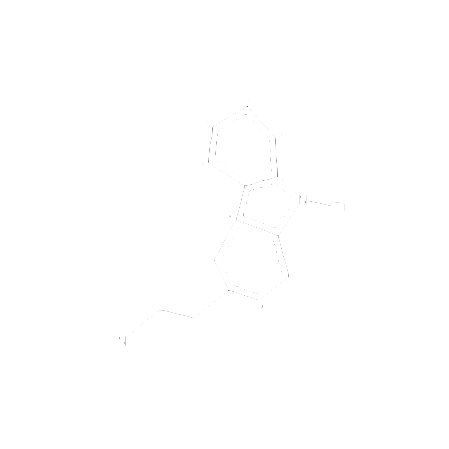 CCn1c2ccccc2c2cc(CCN)ccc21